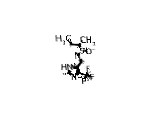 CCC(C)[S+]([O-])/N=C/c1[nH]cnc1C(F)(F)F